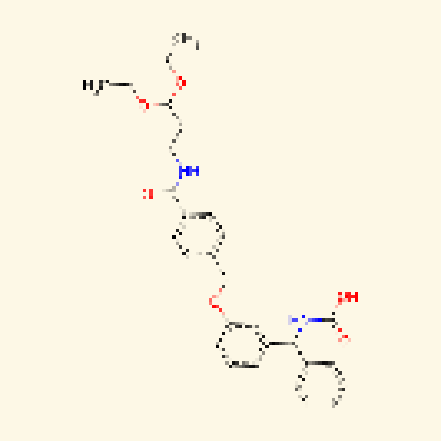 CCOC(CCNC(=O)c1ccc(COc2cccc(C(NC(=O)O)c3ccccc3)c2)cc1)OCC